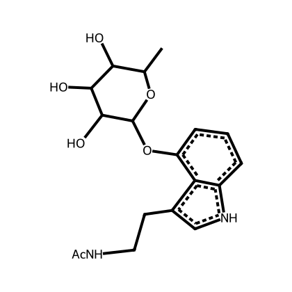 CC(=O)NCCc1c[nH]c2cccc(OC3OC(C)C(O)C(O)C3O)c12